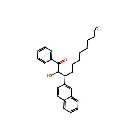 CCCCCCCCCCCCCCCCCC(c1ccc2ccccc2c1)C(S)C(=O)c1ccccc1